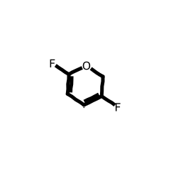 FC1=[C]C=C(F)OC1